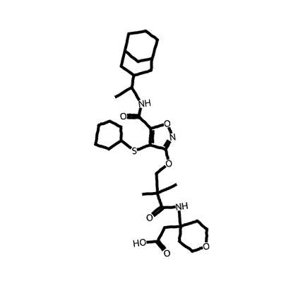 CC(NC(=O)c1onc(OCC(C)(C)C(=O)NC2(CC(=O)O)CCOCC2)c1SC1CCCCC1)C1CC2CCCC(C2)C1